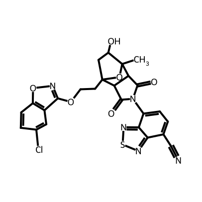 CC12OC(CCOc3noc4ccc(Cl)cc34)(CC1O)C1C(=O)N(c3ccc(C#N)c4nsnc34)C(=O)C12